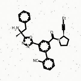 CCC#C[C@H]1CCCN1C(=O)c1cc(-c2nnc([C@](C)(N)Cc3ccccc3)o2)cc(-c2ccccc2C#N)c1